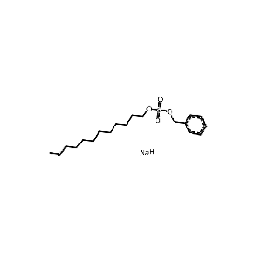 CCCCCCCCCCCCOS(=O)(=O)OCc1ccccc1.[NaH]